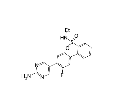 CCNS(=O)(=O)c1ccccc1-c1ccc(-c2cnc(N)nc2)c(F)c1